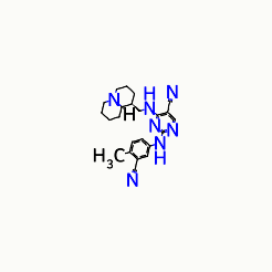 Cc1ccc(Nc2ncc(C#N)c(NC[C@@H]3CCCN4CCCC[C@H]34)n2)cc1C#N